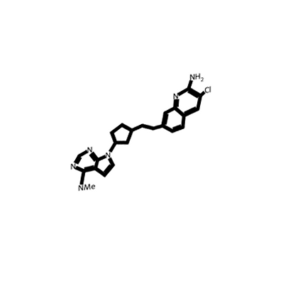 CNc1ncnc2c1ccn2C1CCC(CCc2ccc3cc(Cl)c(N)nc3c2)C1